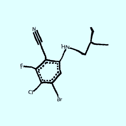 CC(C)CNc1cc(Br)c(Cl)c(F)c1C#N